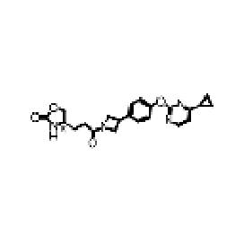 O=C1N[C@H](CCC(=O)N2CC(c3ccc(Oc4nccc(C5CC5)n4)cc3)C2)CO1